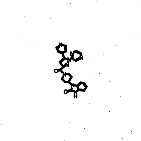 O=C(c1cc(-c2ccncc2)n(-c2cnccn2)n1)N1CCC(n2c(=O)[nH]c3ccccc32)CC1